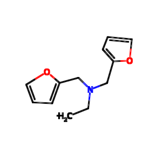 [CH2]CN(Cc1ccco1)Cc1ccco1